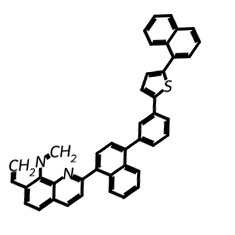 C=Cc1ccc2ccc(-c3ccc(-c4cccc(-c5ccc(-c6cccc7ccccc67)s5)c4)c4ccccc34)nc2c1N=C